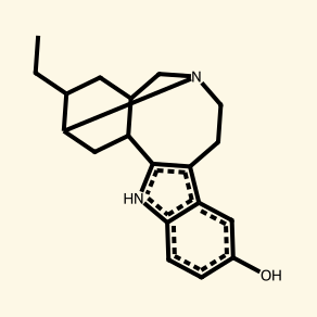 CCC1CC2CN3CCc4c([nH]c5ccc(O)cc45)C2CC13